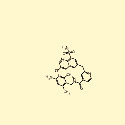 Cc1cc(N)nc(C)c1CNC(=O)c1ccnc(Cc2cc(S(N)(=O)=O)c3ncc(Cl)cc3c2)c1